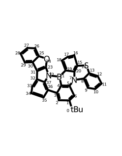 CC(C)(C)c1cc2c3c(c1)N1c4ccccc4Sc4cccc(c41)B3n1c3oc4ccccc4c3c3cccc-2c31